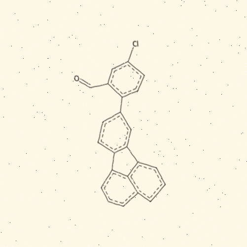 O=Cc1cc(Cl)ccc1-c1ccc2c(c1)-c1cccc3cccc-2c13